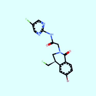 O=C(CN1C[C@H](CF)c2cc(Br)ccc2C1=O)Nc1ncc(F)cn1